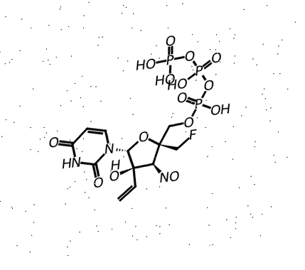 C=C[C@@]1(O)[C@H](N=O)[C@@](CF)(COP(=O)(O)OP(=O)(O)OP(=O)(O)O)O[C@H]1n1ccc(=O)[nH]c1=O